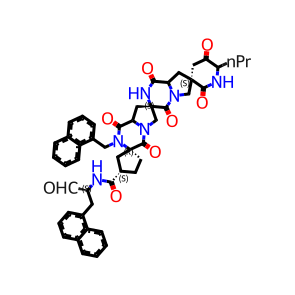 CCCC1NC(=O)[C@]2(CC1=O)CC1C(=O)N[C@]3(CC4C(=O)N(Cc5cccc6ccccc56)[C@@]5(CC[C@H](C(=O)N[C@H](C=O)Cc6cccc7ccccc67)C5)C(=O)N4C3)C(=O)N1C2